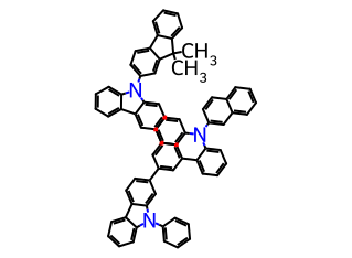 CC1(C)c2ccccc2-c2ccc(-n3c4ccccc4c4cc(-c5cc(-c6ccc7c8ccccc8n(-c8ccccc8)c7c6)cc(-c6ccccc6N(c6ccccc6)c6ccc7ccccc7c6)c5)ccc43)cc21